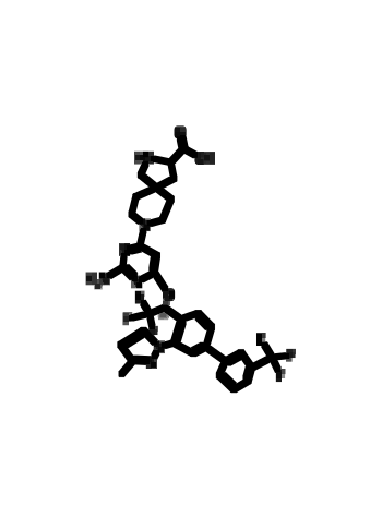 Cc1ccn(-c2cc(-c3cccc(C(F)(F)F)c3)ccc2[C@@H](Oc2cc(N3CCC4(CC3)CNC(C(=O)O)C4)nc(N)n2)C(F)(F)F)n1